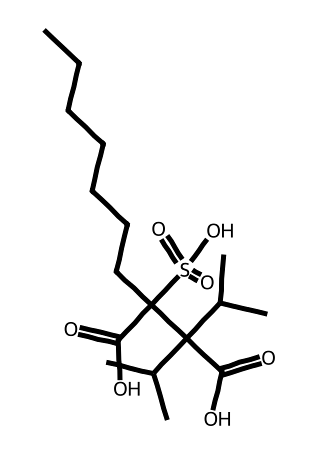 CCCCCCCC(C(=O)O)(C(C(=O)O)(C(C)C)C(C)C)S(=O)(=O)O